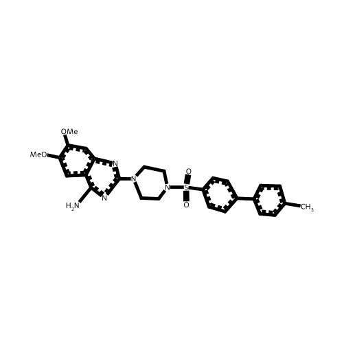 COc1cc2nc(N3CCN(S(=O)(=O)c4ccc(-c5ccc(C)cc5)cc4)CC3)nc(N)c2cc1OC